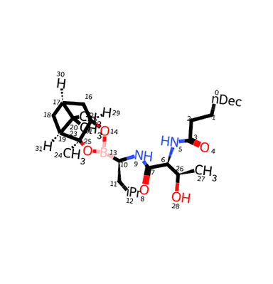 CCCCCCCCCCCCC(=O)N[C@H](C(=O)N[C@@H](CC(C)C)B1O[C@@H]2C[C@@H]3C[C@@H](C3(C)C)[C@]2(C)O1)[C@@H](C)O